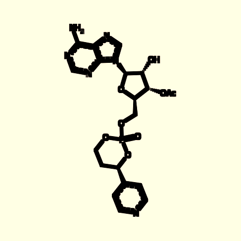 CC(=O)O[C@H]1[C@@H](O)[C@H](n2cnc3c(N)ncnc32)O[C@@H]1COP1(=O)OCC[C@H](c2ccncc2)O1